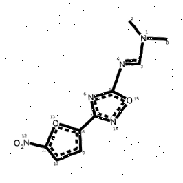 CN(C)C=Nc1nc(-c2ccc([N+](=O)[O-])o2)no1